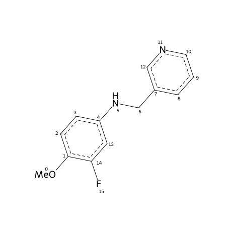 COc1ccc(NCc2cccnc2)cc1F